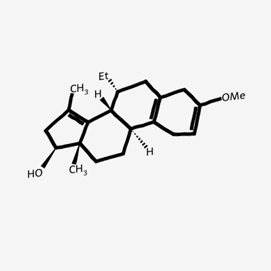 CC[C@@H]1CC2=C(CC=C(OC)C2)[C@H]2CC[C@@]3(C)C(=C(C)C[C@@H]3O)[C@H]12